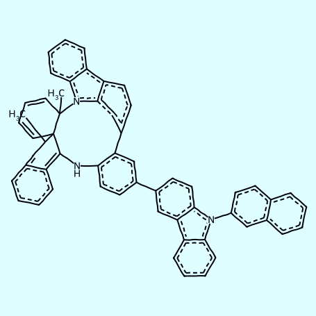 CC1C=c2ccccc2=C2Nc3ccc(-c4ccc5c(c4)c4ccccc4n5-c4ccc5ccccc5c4)cc3-c3ccc4c5ccccc5n(c4c3)C3(C)C=CC=CC213